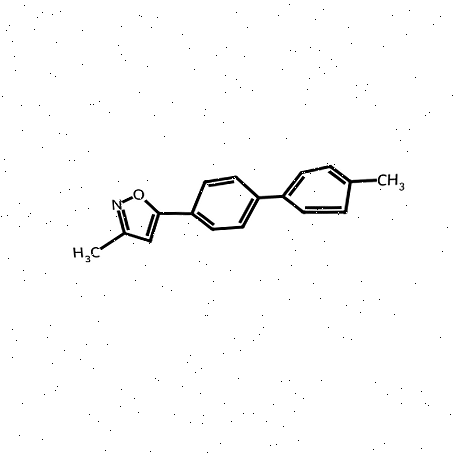 Cc1ccc(-c2ccc(-c3cc(C)no3)cc2)cc1